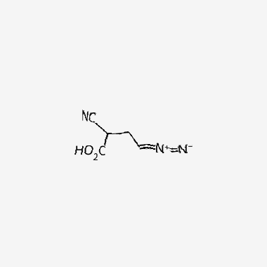 N#CC(CC=[N+]=[N-])C(=O)O